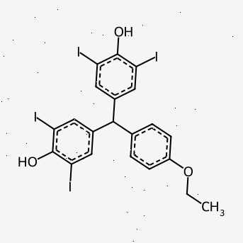 CCOc1ccc(C(c2cc(I)c(O)c(I)c2)c2cc(I)c(O)c(I)c2)cc1